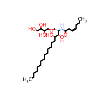 CCC/C=C\CC(=O)N[C@@H](COC[C@@H](O)C(O)CO)[C@H](O)[C@H](O)CCCCCCCCCCCCCC